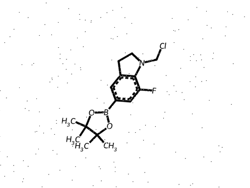 CC1(C)OB(c2cc(F)c3c(c2)CCN3CCl)OC1(C)C